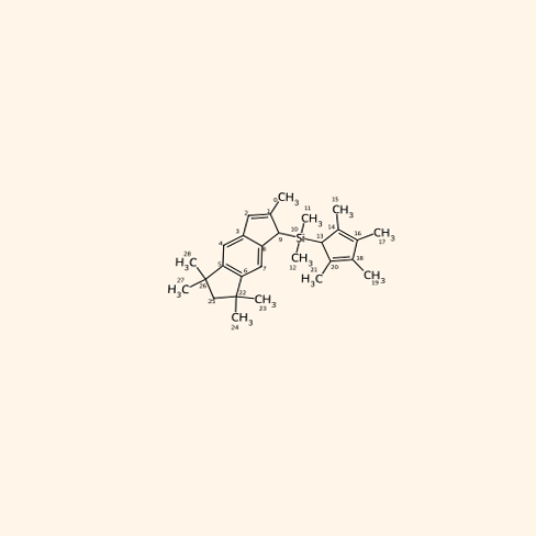 CC1=Cc2cc3c(cc2C1[Si](C)(C)C1C(C)=C(C)C(C)=C1C)C(C)(C)CC3(C)C